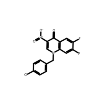 O=c1c([N+](=O)[O-])cn(Cc2ccc(Cl)cc2)c2cc(F)c(F)cc12